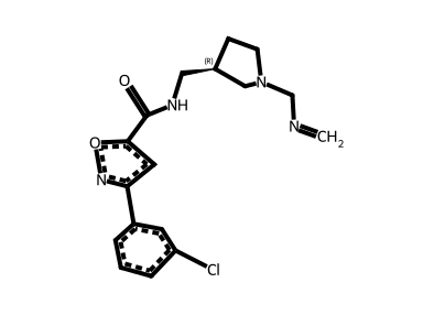 C=NCN1CC[C@H](CNC(=O)c2cc(-c3cccc(Cl)c3)no2)C1